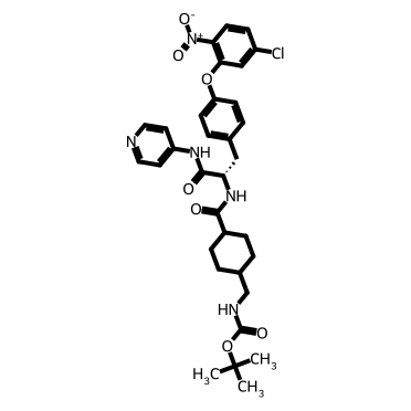 CC(C)(C)OC(=O)NCC1CCC(C(=O)N[C@@H](Cc2ccc(Oc3cc(Cl)ccc3[N+](=O)[O-])cc2)C(=O)Nc2ccncc2)CC1